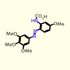 COc1ccc(/N=N/c2cc(OC)c(OC)c(OC)c2)c(NC(=O)O)c1